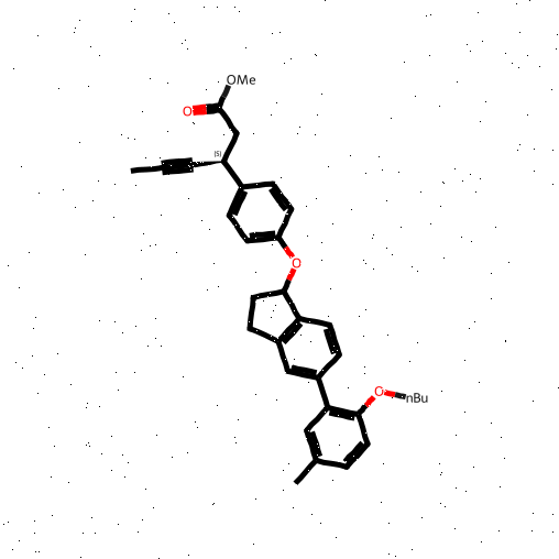 CC#C[C@@H](CC(=O)OC)c1ccc(OC2CCc3cc(-c4cc(C)ccc4OCCCC)ccc32)cc1